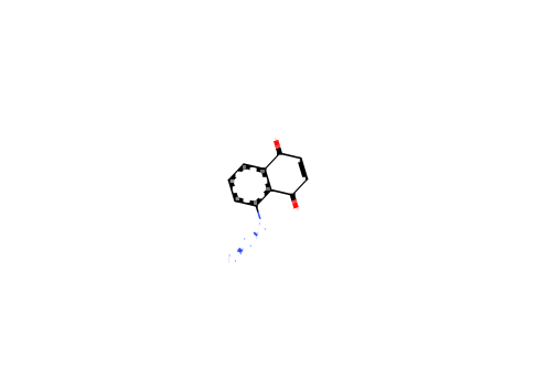 [N-]=[N+]=Nc1cccc2c1C(=O)C=CC2=O